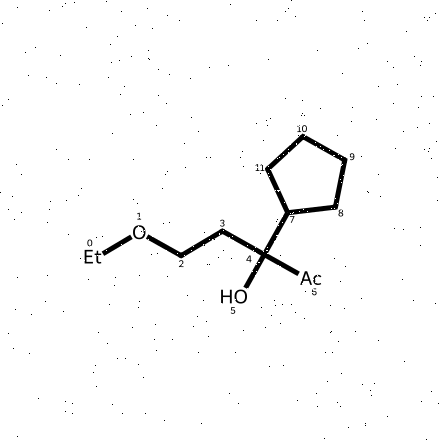 CCOCCC(O)(C(C)=O)C1CCCC1